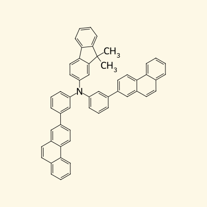 CC1(C)c2ccccc2-c2ccc(N(c3cccc(-c4ccc5c(ccc6ccccc65)c4)c3)c3cccc(-c4ccc5c(ccc6ccccc65)c4)c3)cc21